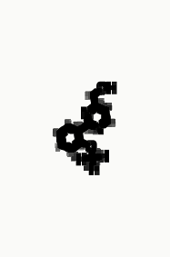 [2H]C([2H])([2H])Oc1ccccc1-c1nccc(CO)n1